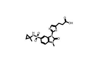 Cn1c(=O)n(-c2ncc(CCC(=O)O)s2)c2cc(S(=O)(=O)NC3(C)CC3)ccc21